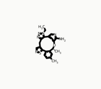 CCn1nnc2c1-c1cnc(N)c(c1)O[C@H](C)c1cc(C)ccc1-c1sncc1C2